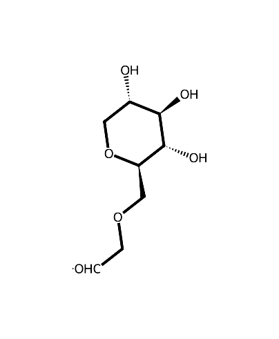 O=[C]COC[C@H]1OC[C@H](O)[C@@H](O)[C@@H]1O